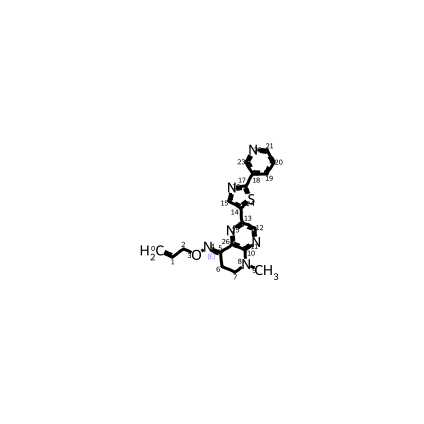 C=CCO/N=C1\CCN(C)c2ncc(-c3cnc(-c4cccnc4)s3)nc21